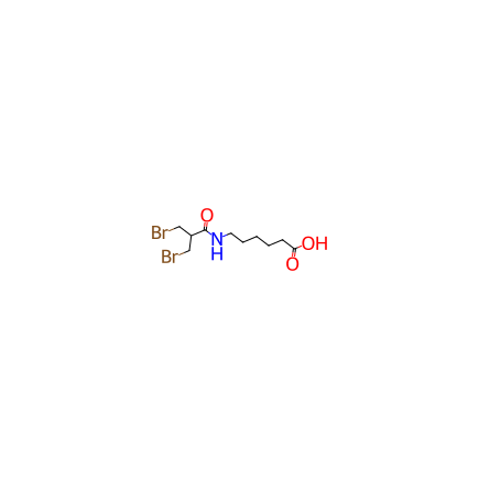 O=C(O)CCCCCNC(=O)C(CBr)CBr